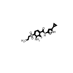 CCCS(=O)(=O)C1=CC=C(C(=O)Nc2cc(C3CC3)[nH]n2)C(=S)C1N